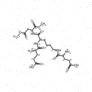 COC(=O)CC(NC(=O)C(CCCCNC(=O)C(N)CCC(=O)O)NC(=O)C(N)CCC(=O)O)C(=O)OC